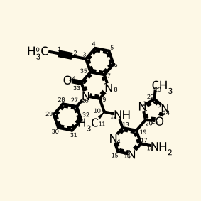 CC#Cc1cccc2nc([C@H](C)Nc3ncnc(N)c3-c3nc(C)no3)n(-c3ccccc3)c(=O)c12